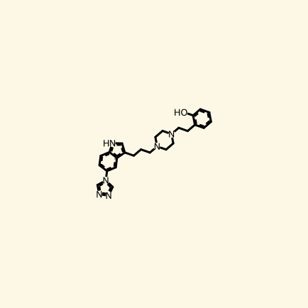 Oc1ccccc1CCN1CCN(CCCc2c[nH]c3ccc(-n4cnnc4)cc23)CC1